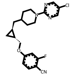 N#Cc1ccc(OC[C@@H]2C[C@H]2CC2CCN(c3ncc(Cl)cn3)CC2)cc1F